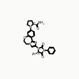 CC(C)[C@@H]1C(=O)N(c2ccccc2)C(=O)N1c1cn2c(n1)-c1ccc(N3CCC[C@H]3C(N)=O)cc1OCC2